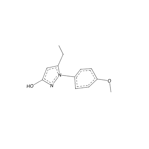 CCc1cc(O)nn1-c1ccc(OC)cc1